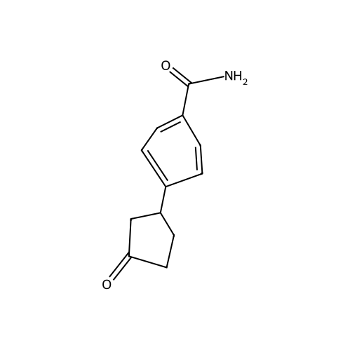 NC(=O)c1ccc(C2CCC(=O)C2)cc1